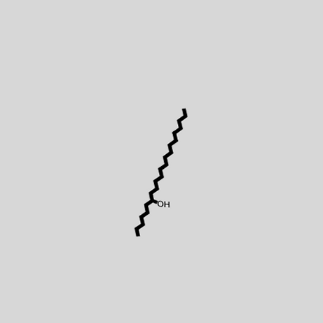 CCCCCCCCCCCCCCCC(O)CCCCCC